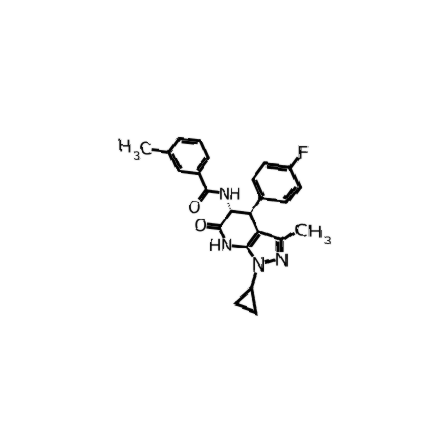 Cc1cccc(C(=O)N[C@H]2C(=O)Nc3c(c(C)nn3C3CC3)[C@@H]2c2ccc(F)cc2)c1